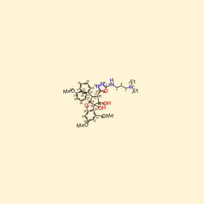 CCN(CC)CCCNc1nnc([C@@H]2C(c3ccccc3)[C@]3(c4ccc(OC)cc4)Oc4cc(OC)cc(OC)c4C3(O)[C@@H]2O)o1